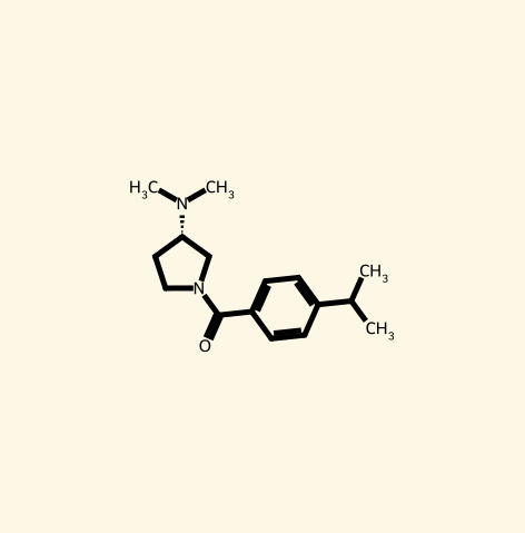 CC(C)c1ccc(C(=O)N2CC[C@H](N(C)C)C2)cc1